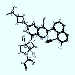 C#Cc1c(F)ccc2cccc(-c3ncc4c(N5C[C@@H]6[C@H]5CCN6C(=O)C=C)nc(N5CC(N(C)C)C5)nc4c3F)c12